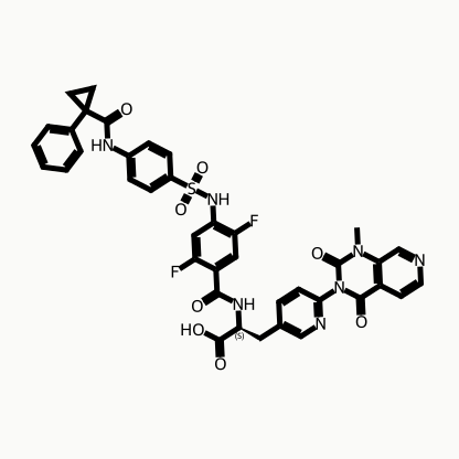 Cn1c(=O)n(-c2ccc(C[C@H](NC(=O)c3cc(F)c(NS(=O)(=O)c4ccc(NC(=O)C5(c6ccccc6)CC5)cc4)cc3F)C(=O)O)cn2)c(=O)c2ccncc21